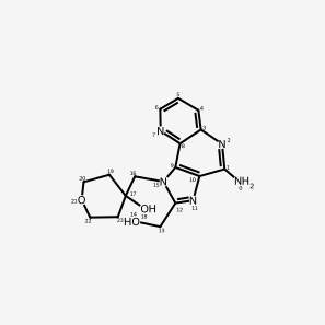 Nc1nc2cccnc2c2c1nc(CO)n2CC1(O)CCOCC1